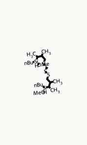 CCCC[SiH](OC)C(C)C(C)CSSSSCC(C)C(C)[SiH](CCCC)OC